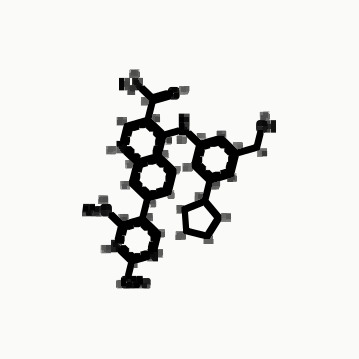 COc1ncc(-c2ccc3c(Nc4cc(CO)cc(C5CCCC5)c4)c(C(N)=O)cnc3c2)c(OC)n1